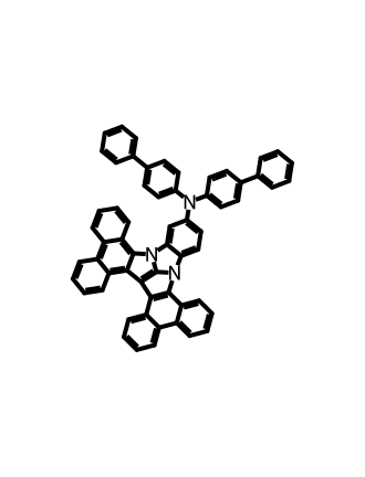 c1ccc(-c2ccc(N(c3ccc(-c4ccccc4)cc3)c3ccc4c(c3)n3c5c6ccccc6c6ccccc6c5c5c6c7ccccc7c7ccccc7c6n4c53)cc2)cc1